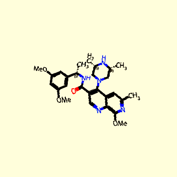 COc1cc(OC)cc([C@H](C)NC(=O)c2cnc3c(OC)nc(C)cc3c2N2C[C@@H](C)N[C@@H](C)C2)c1